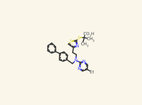 CCc1cnc(N(CCc2csc(SC(C)(C)C(=O)O)n2)Cc2ccc(-c3ccccc3)cc2)nc1